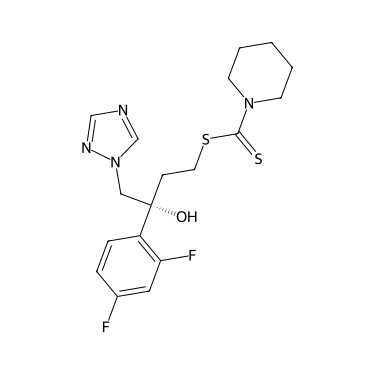 O[C@@](CCSC(=S)N1CCCCC1)(Cn1cncn1)c1ccc(F)cc1F